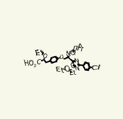 CCCON=C(COc1ccc(CC(OCC)C(=O)O)cc1)c1nc(-c2ccc(Cl)cc2)no1.CCOCC